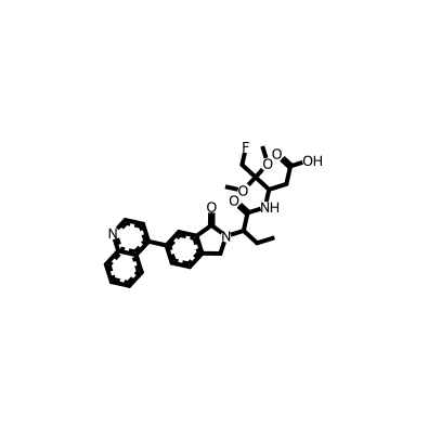 CCC(C(=O)NC(CC(=O)O)C(CF)(OC)OC)N1Cc2ccc(-c3ccnc4ccccc34)cc2C1=O